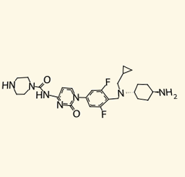 N[C@H]1CC[C@H](N(Cc2c(F)cc(-n3ccc(NC(=O)N4CCNCC4)nc3=O)cc2F)CC2CC2)CC1